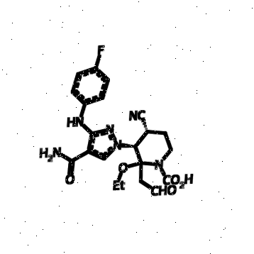 CCOC1(CC=O)[C@@H](n2cc(C(N)=O)c(Nc3ccc(F)cc3)n2)[C@H](C#N)CCN1C(=O)O